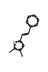 Cc1cc(/C=C/c2ccccc2)oc1C